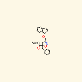 COC(=O)C1(Cc2ccccc2)CC(COc2cccc3ccccc23)=NO1